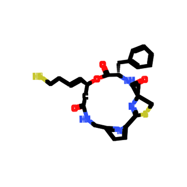 C[C@@]12CSC(=N1)C1=CCC(=N1)CNC(=O)C[C@@H](/C=C/CCS)OC(=O)[C@H](Cc1ccccc1)NC2=O